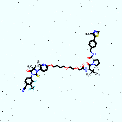 Cc1nc(OCCCCOCCOCC(=O)N[C@H](C(=O)N2CCC[C@H]2C(=O)NCc2ccc(-c3scnc3C)cc2)C(C)(C)C)ccc1N1C(=S)N(c2ccc(C#N)c(C(F)(F)F)c2F)C(=O)C1(C)C